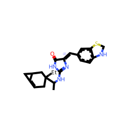 CCC1(C(C)NC2=N/C(=C\c3ccc4c(c3)SCN4)C(=O)N2)CC=C2CC2C1